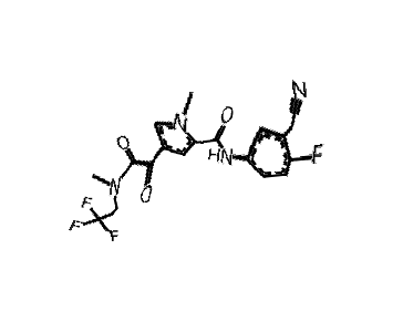 CN(CC(F)(F)F)C(=O)C(=O)c1cc(C(=O)Nc2ccc(F)c(C#N)c2)n(C)c1